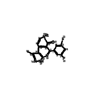 CCn1ccc2c(c(-c3cc(F)cc(F)c3)nc3[nH]nc(C)c32)c1=O